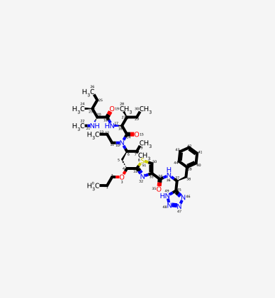 CCCO[C@H](C[C@H](C(C)C)N(CCC)C(=O)[C@@H](NC(=O)[C@H](NC)[C@@H](C)CC)[C@@H](C)CC)c1nc(C(=O)N[C@@H](Cc2ccccc2)c2nnn[nH]2)cs1